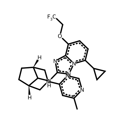 Cc1cc(N2C[C@H]3CC[C@@H](C2)C3Nc2nc3c(OCC(F)(F)F)ccc(C4CC4)n3n2)ncn1